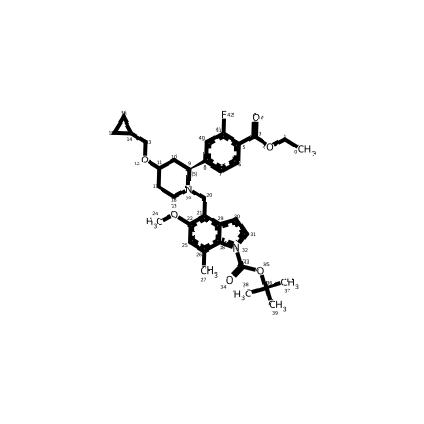 CCOC(=O)c1ccc([C@@H]2CC(OCC3CC3)CCN2Cc2c(OC)cc(C)c3c2ccn3C(=O)OC(C)(C)C)cc1F